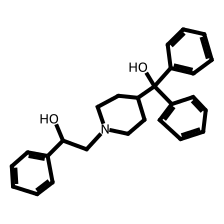 OC(CN1CCC(C(O)(c2ccccc2)c2ccccc2)CC1)c1ccccc1